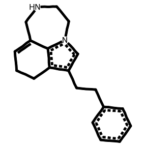 C1=C2CNCCn3cc(CCc4ccccc4)c(c32)CC1